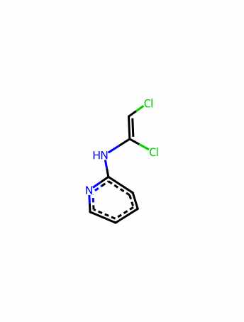 ClC=C(Cl)Nc1ccccn1